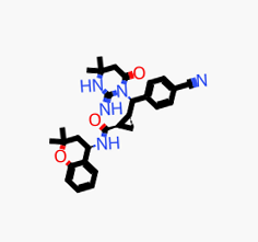 CC1(C)CC(=O)N([C@H](c2ccc(C#N)cc2)[C@@H]2C[C@H]2C(=O)N[C@H]2CC(C)(C)Oc3ccccc32)C(=N)N1